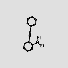 CCN(CC)c1ccccc1C#Cc1ccccc1